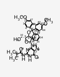 COc1ccc(C(OC2[C@@H](CO)O[C@@H](n3cnc4c(=O)[nH]c(NC(=O)C(C)C)nc43)[C@H]2F)(c2ccccc2)c2ccc(OC)cc2)cc1